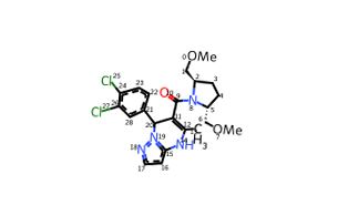 COC[C@H]1CC[C@H](COC)N1C(=O)C1=C(C)Nc2ccnn2C1c1ccc(Cl)c(Cl)c1